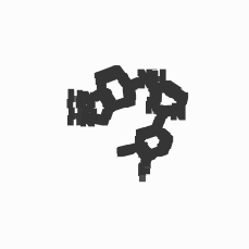 Cc1cc(-c2nccc(Nc3ccc4c(c3)CNN4)n2)ccc1F